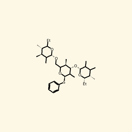 CCC1O[C@H](OCC2O[C@H](Sc3ccccc3)C(C)[C@@H](O[C@H]3O[C@@H](CC)[C@@H](C)C(C)C3C)[C@@H]2C)C(C)[C@@H](C)[C@@H]1C